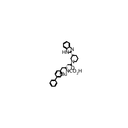 CC(C)(C)N(C(=O)O)[C@@H](CC(=O)N1CCC[C@@H](c2nc3ccccc3[nH]2)C1)Cc1ccc(-c2ccccc2)cc1